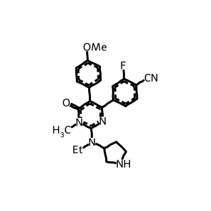 CCN(c1nc(-c2ccc(C#N)c(F)c2)c(-c2ccc(OC)cc2)c(=O)n1C)C1CCNC1